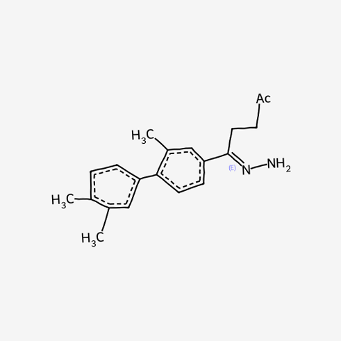 CC(=O)CC/C(=N\N)c1ccc(-c2ccc(C)c(C)c2)c(C)c1